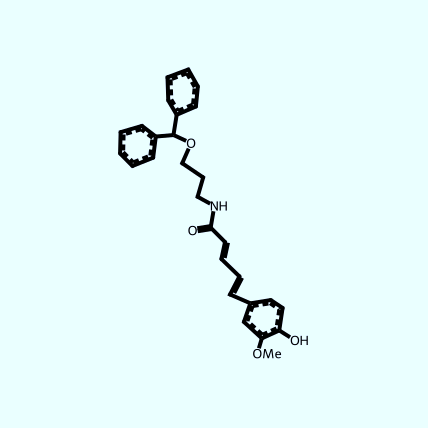 COc1cc(C=CC=CC(=O)NCCCOC(c2ccccc2)c2ccccc2)ccc1O